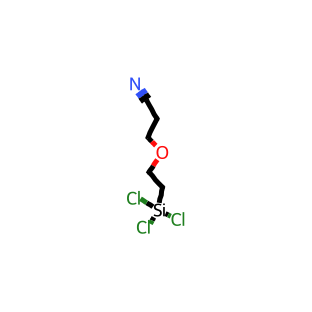 N#CCCOCC[Si](Cl)(Cl)Cl